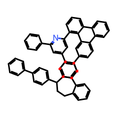 c1ccc(-c2ccc(C3CCc4ccccc4-c4cc(-c5ccc6c7ccccc7c7cccc(-c8cc(-c9ccccc9)cc(-c9ccccc9)n8)c7c6c5)ccc43)cc2)cc1